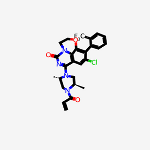 C=CC(=O)N1C[C@H](C)N(c2nc(=O)n3c4c(c(-c5ccccc5C(F)(F)F)c(Cl)cc24)OCC3)C[C@H]1C